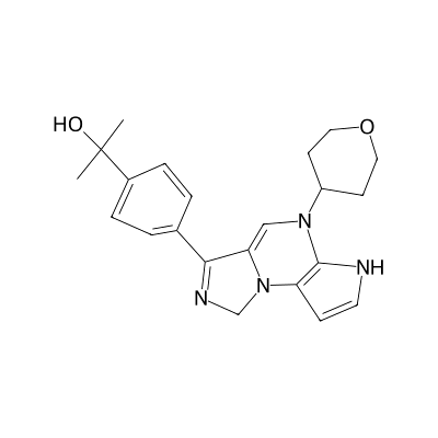 CC(C)(O)c1ccc(C2=NCN3C2=CN(C2CCOCC2)c2[nH]ccc23)cc1